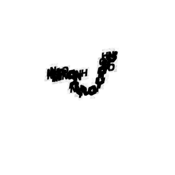 C=C1CCC(N2C(=O)c3ccc(N4CCC(CN5CCC(CN6CCN(c7cc(-c8n[nH]c9ccc(NC(=O)C%10=C(C)N(C)c%11nnnn%11C%10(C)C)cc89)ccn7)C[C@@H]6C)CC5)CC4)cc3C2=O)C(=O)N1